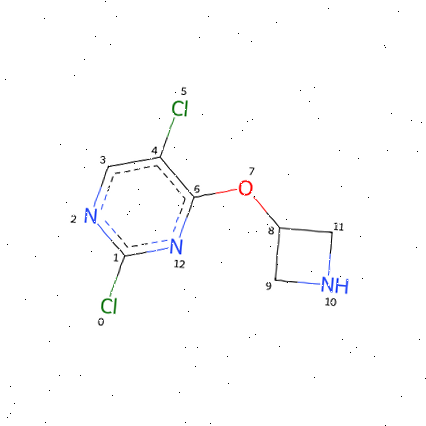 Clc1ncc(Cl)c(OC2CNC2)n1